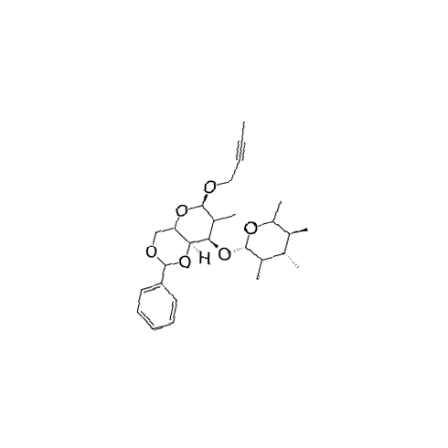 CC#CCO[C@@H]1OC2COC(c3ccccc3)O[C@@H]2[C@H](O[C@@H]2OC(C)[C@@H](C)[C@H](C)C2C)C1C